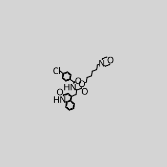 O=C(NC(Cc1cc(=O)[nH]c2ccccc12)C(=O)OCCCCCCN1CCOCC1)c1ccc(Cl)cc1